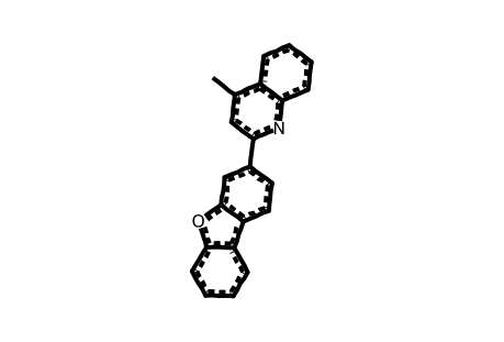 Cc1cc(-c2ccc3c(c2)oc2ccccc23)nc2ccccc12